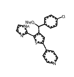 COC(c1ccc(Cl)cc1)c1cc(-c2ccncc2)sc1-c1ncc[nH]1